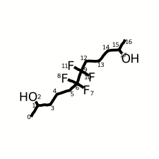 CC(O)CCCC(F)(F)C(F)(F)CCCC(C)O